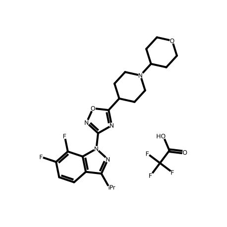 CC(C)c1nn(-c2noc(C3CCN(C4CCOCC4)CC3)n2)c2c(F)c(F)ccc12.O=C(O)C(F)(F)F